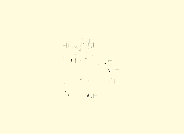 C[C@@H]1C[C@H](c2ccncc2N)C[C@H](CC(C)(C)[Si](C)(C)O)[C@@]1(C)O